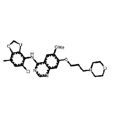 COc1cc2c(Nc3c(Cl)cc(I)c4c3OCO4)ncnc2cc1OCCCN1CCOCC1